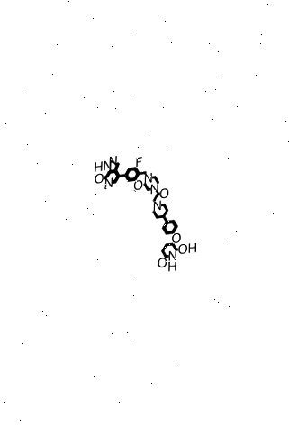 COc1cc(-c2cn(C)c(=O)c3[nH]ncc23)cc(F)c1CN1CCN(C(=O)CN2CCC(c3ccc(OC4CCC(=O)NC4O)cc3)CC2)CC1